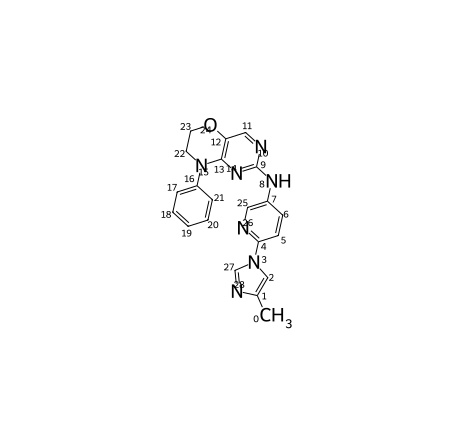 Cc1cn(-c2ccc(Nc3ncc4c(n3)N(c3ccccc3)CCO4)cn2)cn1